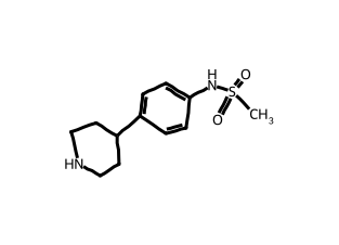 CS(=O)(=O)Nc1ccc(C2CCNCC2)cc1